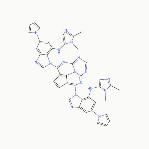 Cc1ncc(Nc2cc(-n3cccc3)cc3ncn(-c4nc5ncnc6nc(-n7cnc8cc(-n9cccc9)cc(Nc9cnc(C)n9C)c87)c7ccc4c7n56)c23)n1C